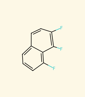 Fc1ccc2cccc(F)c2c1F